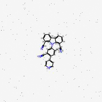 Cc1cc(-c2ccncc2)c(C#N)cc1-n1c2c(C#N)cccc2c2cccc(C#N)c21